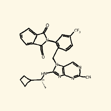 C[C@@H](Nc1nc2nc(C#N)ncc2n1Cc1ccc(C(F)(F)F)cc1N1C(=O)c2ccccc2C1=O)C1CCC1